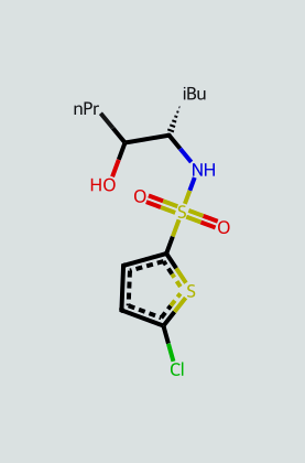 CCCC(O)C(NS(=O)(=O)c1ccc(Cl)s1)[C@@H](C)CC